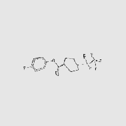 O=C(Oc1ccc(F)cc1)C1CCC(C(F)(F)C(F)(F)F)CC1